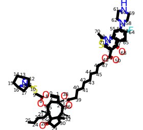 C=C[C@@]1(C)C[C@H](OC(=O)CSC2CC3CCC(C2)N3C)[C@@](C)(CCCC)C2C(=O)CCC2(C)[C@H](C)[C@H]1OC(=O)CCCCCCCCCOC(=O)c1c2n(c3cc(N4CCNCC4)c(F)cc3c1=O)C(C)S2